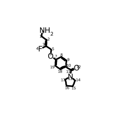 NCC=C(F)COc1ccc(C(=O)N2CCCC2)cc1